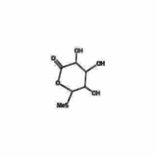 CSC1OC(=O)C(O)C(O)C1O